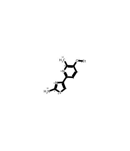 CCOc1ccc(-c2csc(N)n2)nc1C